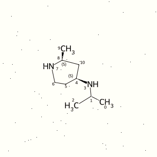 CC(C)N[C@H]1CCN[C@@H](C)C1